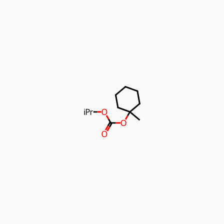 [CH2]C(C)OC(=O)OC1(C)CCCCC1